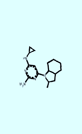 CC1CC2CCCCC2N1c1cc(NC2CC2)nc(N)n1